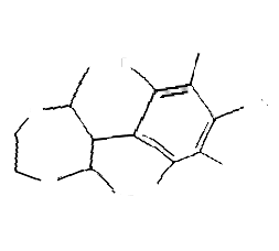 CC1OCCOC(C(F)(F)F)C1c1c(F)c(F)c(C#N)c(F)c1F